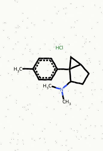 Cc1ccc(C23CC2CCC3N(C)C)cc1.Cl